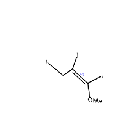 [CH2]O/C(I)=C(/I)CI